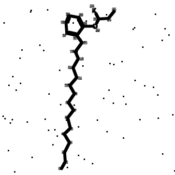 CCCCCCCCCCCCCCCCc1ccccc1O[CH]([K])CC